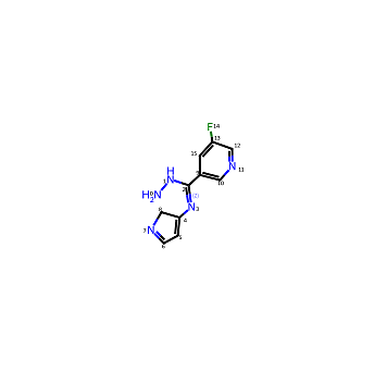 NN/C(=N\C1=CC=NC1)c1cncc(F)c1